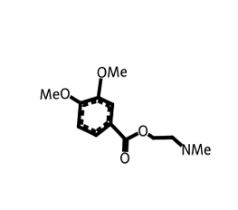 CNCCOC(=O)c1ccc(OC)c(OC)c1